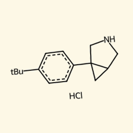 CC(C)(C)c1ccc(C23CNCC2C3)cc1.Cl